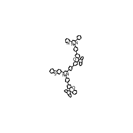 c1ccc(-c2cc(-c3ccccn3)nc(-c3ccc(-c4ccc5c(c4)Oc4cc(-c6ccc(-c7cc(-c8ccc9c(c8)sc8ccccc89)nc(-c8ccc(-c9ccc%10c(c9)Oc9ccccc9C%109c%10ccccc%10-c%10ccccc%109)cc8)n7)cc6)ccc4C54c5ccccc5-c5ccccc54)cc3)n2)cc1